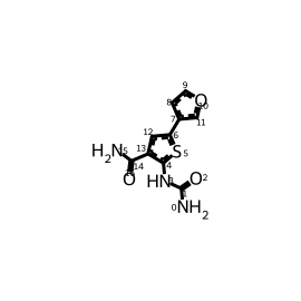 NC(=O)Nc1sc(-c2ccoc2)cc1C(N)=O